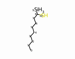 CCCCCCCCC([SiH3])S